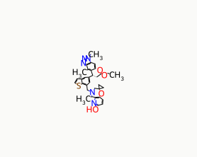 CCOC(=O)C[C@H](c1cc(CN2CC3(CC3)Oc3ccc(O)nc3[C@@H]2C)c2sccc2c1)c1ccc2c(nnn2C)c1C